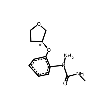 CNC(=O)N(N)c1ccccc1O[C@H]1CCOC1